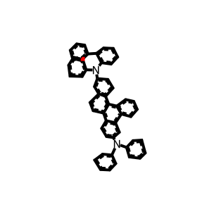 c1ccc(-c2ccccc2N(c2ccccc2)c2ccc3c(ccc4c5ccc(N(c6ccccc6)c6ccccc6)cc5c5ccccc5c34)c2)cc1